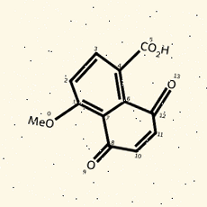 COc1ccc(C(=O)O)c2c1C(=O)C=CC2=O